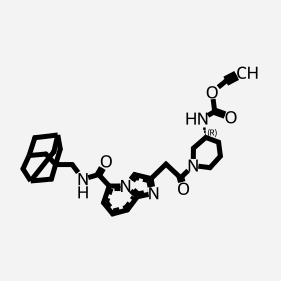 C#COC(=O)N[C@@H]1CCCN(C(=O)Cc2cn3c(C(=O)NCC45CC6CC(CC(C6)C4)C5)cccc3n2)C1